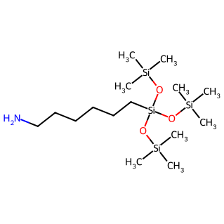 C[Si](C)(C)O[Si](CCCCCCN)(O[Si](C)(C)C)O[Si](C)(C)C